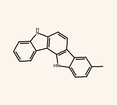 Cc1ccc2[nH]c3c(ccc4[nH]c5ccccc5c43)c2c1